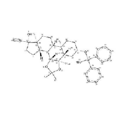 C#C[C@]1(O)CC[C@H]2C3[C@H]4OC(C)(C)O[C@@H]4[C@H]4C[C@@H](O[Si](c5ccccc5)(c5ccccc5)C(C)(C)C)CC[C@]4(C)[C@H]3CC[C@@]21C